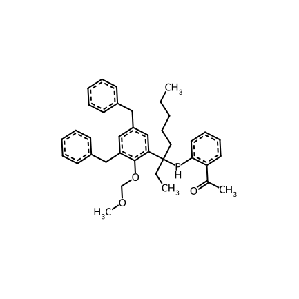 CCCCCC(CC)(Pc1ccccc1C(C)=O)c1cc(Cc2ccccc2)cc(Cc2ccccc2)c1OCOC